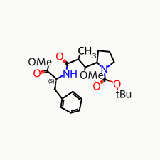 COC(=O)[C@H](Cc1ccccc1)NC(=O)C(C)C(OC)C1CCCN1C(=O)OC(C)(C)C